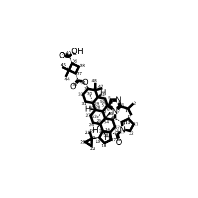 CC(C)c1nccn1C[C@@H]1CCCN1C(=O)[C@]12CC[C@@H](C3(C)CC3)[C@@H]1[C@H]1CC[C@@H]3[C@@]4(C)CC[C@H](OC(=O)[C@H]5C[C@@H](C(=O)O)C5(C)C)C(C)(C)[C@@H]4CC[C@@]3(C)[C@]1(C)CC2